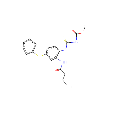 CCCC(=O)Nc1cc(Sc2ccccc2)ccc1NC(=S)NC(=O)OC